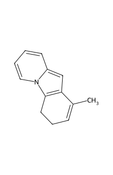 CC1=CCCc2c1cc1ccccn21